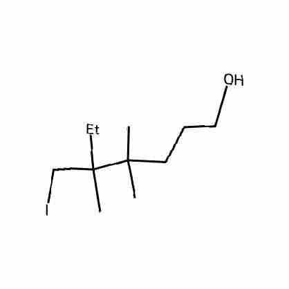 CCC(C)(CI)C(C)(C)CCCO